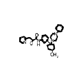 C[C@H]1CC[C@](c2cccc(NC(=O)C(=O)Cc3ccccn3)c2)(N2CCN(c3ccccc3)CC2)CC1